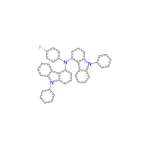 Fc1ccc(N(c2cccc3c2c2ccccc2n3-c2ccccc2)c2cccc3c2c2ccccc2n3-c2ccccc2)cc1